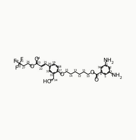 Nc1cc(N)cc(C(=O)OCCCCCCOc2ccc(/C=C/C(=O)OCCC(F)(F)F)cc2CO)c1